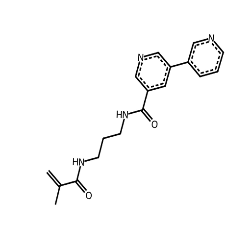 C=C(C)C(=O)NCCCNC(=O)c1cncc(-c2cccnc2)c1